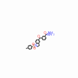 Cc1ccc(S(=O)(=O)N2CCc3cc(C(=O)c4cccc(C(=O)NN)c4)ccc32)cc1